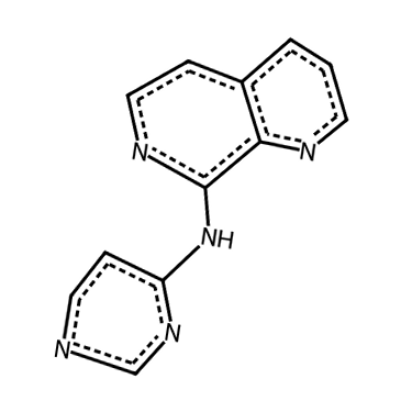 c1cnc2c(Nc3ccncn3)nccc2c1